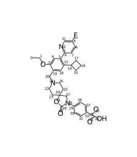 CCOc1cc(-c2ccc(F)cn2)c(C2CCC2)cc1CN1CCC2(CC1)CN(c1ccc(S(=O)(=O)O)cc1)C(=O)O2